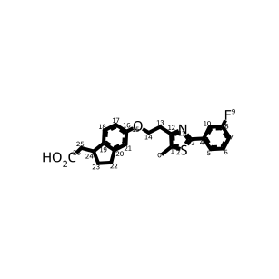 Cc1sc(-c2cccc(F)c2)nc1CCOc1ccc2c(c1)CCC2CC(=O)O